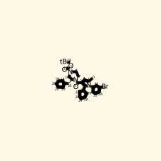 Cc1cc(C(=O)N2CCN(C(=O)OC(C)(C)C)C[C@H]2Cc2ccccc2)c(-c2ccccc2)n1-c1cccc(Br)c1